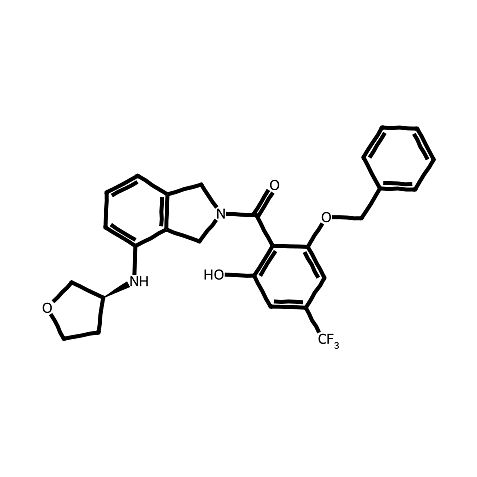 O=C(c1c(O)cc(C(F)(F)F)cc1OCc1ccccc1)N1Cc2cccc(N[C@H]3CCOC3)c2C1